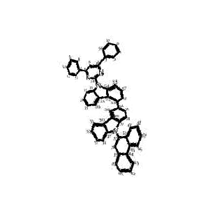 c1ccc(-c2cc(-c3ccccc3)nc(-n3c4ccccc4c4c(-c5ccc6c(c5)c5ccccc5n6-c5cc6ccccc6c6ccccc56)cccc43)n2)cc1